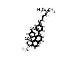 CO[C@@H]1CC[C@@H]([N+]2([O-])CN(C)c3cnc4ccc(-c5ccc(OCCCN(C)C)cc5)cc4c32)C1